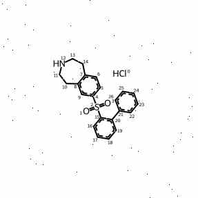 Cl.O=S(=O)(c1ccc2c(c1)CCNCC2)c1ccccc1-c1ccccc1